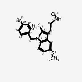 CSc1ccc2c(c1)c(CCNCl)c(C)n2Cc1ccc(Br)cc1